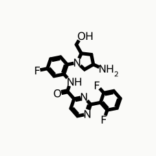 NC1CC(CO)N(c2ccc(F)cc2NC(=O)c2ccnc(-c3c(F)cccc3F)n2)C1